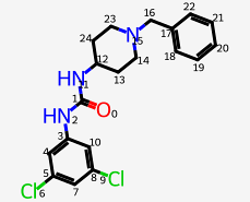 O=C(Nc1cc(Cl)cc(Cl)c1)NC1CCN(Cc2ccccc2)CC1